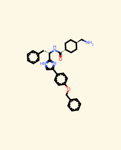 NC[C@H]1CC[C@H](C(=O)N[C@@H](Cc2ccccc2)c2nc(-c3ccc(OCc4ccccc4)cc3)c[nH]2)CC1